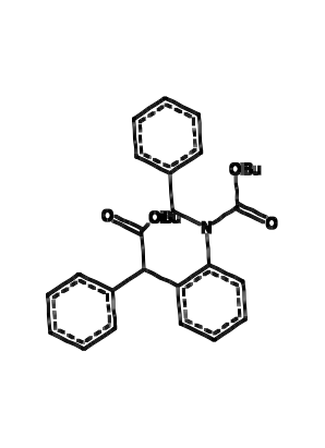 CC(C)COC(=O)C(c1ccccc1)c1ccccc1N(Cc1ccccc1)C(=O)OCC(C)C